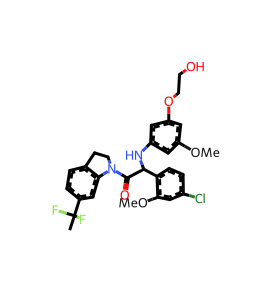 COc1cc(NC(C(=O)N2CCc3ccc(C(C)(F)F)cc32)c2ccc(Cl)cc2OC)cc(OCCO)c1